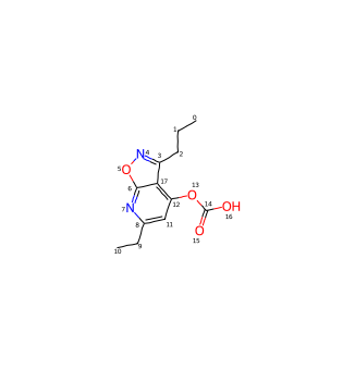 CCCc1noc2nc(CC)cc(OC(=O)O)c12